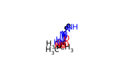 Cc1cc(C)c(S(=O)(=O)N[C@@H](CNC(=O)c2cnn(CCc3ccc4c(n3)NCCC4)n2)C(=O)O)c(C)c1